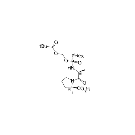 CCCCCCP(=O)(N[C@@H](C)C(=O)N1CCC[C@]1(C)C(=O)O)OCOC(=O)C(C)(C)C